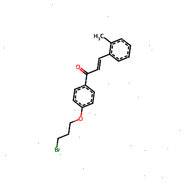 Cc1ccccc1C=CC(=O)c1ccc(OCCCBr)cc1